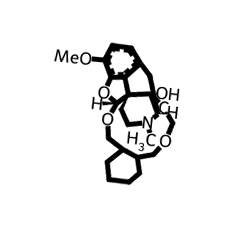 COc1ccc2c3c1O[C@H]1OCC4CCCCC4COCCC4(O)[C@@H](C2)N(C)CC[C@]314